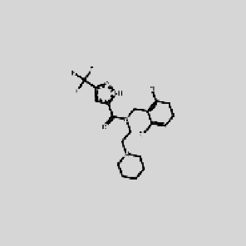 O=C(c1cc(C(F)(F)F)n[nH]1)N(CCN1CCCCC1)CC1=C(Cl)CCC=C1Cl